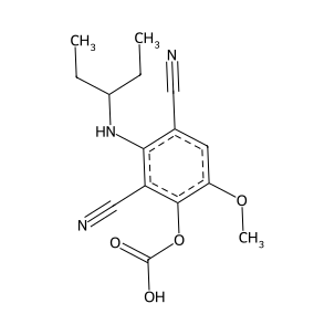 CCC(CC)Nc1c(C#N)cc(OC)c(OC(=O)O)c1C#N